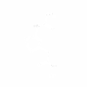 CCC(C)NC(=O)Cc1cccc(NC(=O)C(Cl)(Cl)Cl)c1